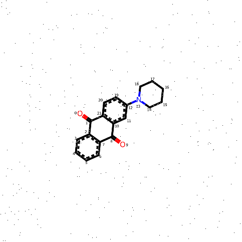 O=C1c2ccccc2C(=O)c2cc(N3CCCCC3)ccc21